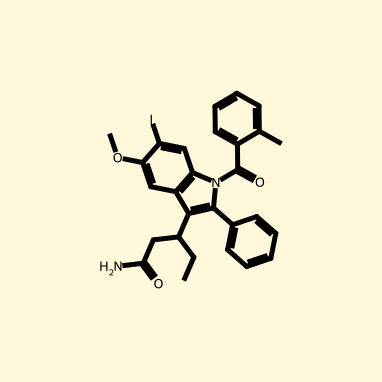 CCC(CC(N)=O)c1c(-c2ccccc2)n(C(=O)c2ccccc2C)c2cc(I)c(OC)cc12